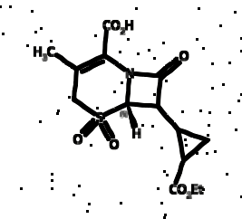 CCOC(=O)C1CC1C1C(=O)N2C(C(=O)O)=C(C)CS(=O)(=O)[C@@H]12